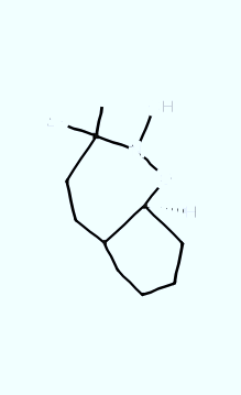 CC(=O)C1(C)CCC2CCCC[C@@H]2ON1O